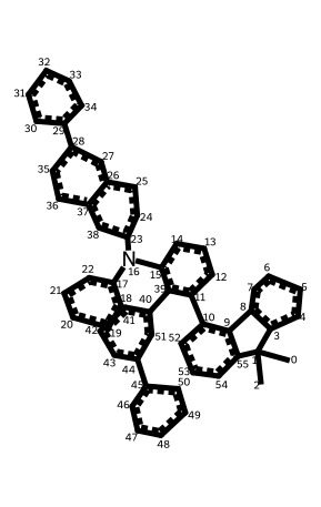 CC1(C)c2ccccc2-c2c(-c3cccc(N(c4ccccc4)c4ccc5cc(-c6ccccc6)ccc5c4)c3-c3cccc(-c4ccccc4)c3)cccc21